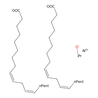 CC(C)[O-].CCCCC/C=C\C/C=C\CCCCCCCC(=O)[O-].CCCCC/C=C\C/C=C\CCCCCCCC(=O)[O-].[Al+3]